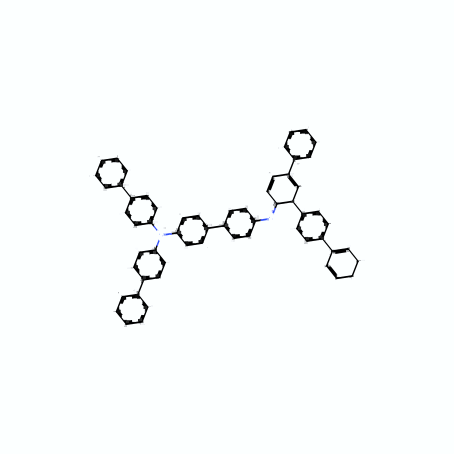 C1=CC(c2ccc(C3C=C(c4ccccc4)C=CC3Nc3ccc(-c4ccc(N(c5ccc(-c6ccccc6)cc5)c5ccc(-c6ccccc6)cc5)cc4)cc3)cc2)=CCC1